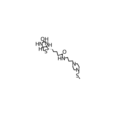 CSCN1CCN(CCCNC(=O)CCCC[C@@H]2SC[C@@H]3NC(=O)N[C@@H]32)CC1